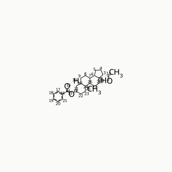 CC(=O)[C@H]1CCC2C3CC[C@@H]4C[C@@H](OC(=O)c5ccccc5)CC[C@]4(C)C3CC[C@@H]21